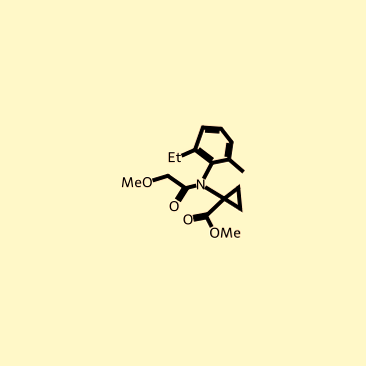 CCc1cccc(C)c1N(C(=O)COC)C1(C(=O)OC)CC1